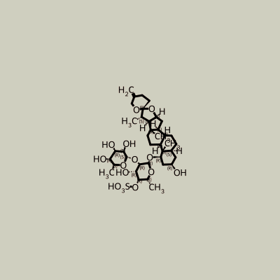 C=C1CC[C@@]2(OC1)O[C@H]1C[C@H]3[C@@H]4CC[C@H]5C[C@@H](O)C[C@@H](O[C@@H]6O[C@H](C)[C@H](OS(=O)(=O)O)[C@H](O)[C@H]6O[C@@H]6O[C@@H](C)[C@H](O)[C@@H](O)[C@H]6O)[C@]5(C)[C@H]4CC[C@]3(C)[C@H]1[C@@H]2C